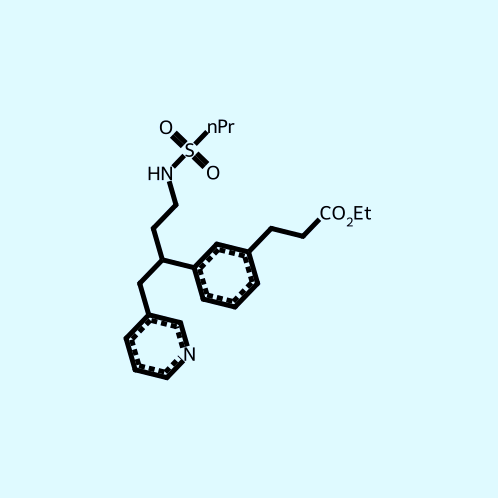 CCCS(=O)(=O)NCCC(Cc1cccnc1)c1cccc(CCC(=O)OCC)c1